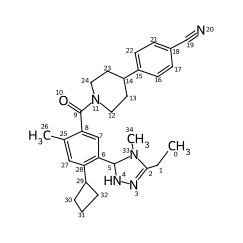 CCC1=NNC(c2cc(C(=O)N3CCC(c4ccc(C#N)cc4)CC3)c(C)cc2C2CCC2)N1C